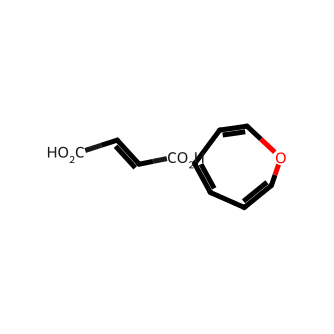 C1=CC=COC=C1.O=C(O)C=CC(=O)O